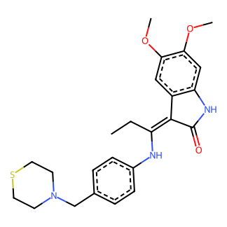 CC/C(Nc1ccc(CN2CCSCC2)cc1)=C1/C(=O)Nc2cc(OC)c(OC)cc21